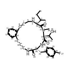 CCC(C)[C@@H]1NCCOc2ccccc2CCCNC(=O)[C@@H](Cc2ccc(F)cc2)NC(=O)[C@H](C(C)O)N(C)C1=O